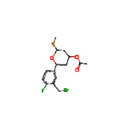 CSC1CC(OC(C)=O)CC(c2ccc(F)c(CBr)c2)O1